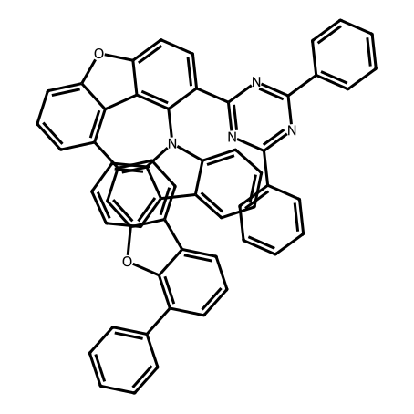 c1ccc(-c2nc(-c3ccccc3)nc(-c3ccc4oc5cccc(-c6ccc7c(c6)oc6c(-c8ccccc8)cccc67)c5c4c3-n3c4ccccc4c4ccccc43)n2)cc1